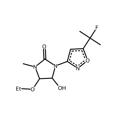 CCOC1C(O)N(c2cc(C(C)(C)F)on2)C(=O)N1C